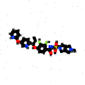 CC[C@@H](Oc1ccc(C(=O)NS(=O)(=O)N2CC3=C(CN(C)C3)C2)c(F)c1F)c1ccc(Oc2ccccn2)cn1